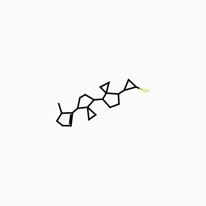 CC1CCC=C1C1CCC(C2CCC(C3CC3S)C23CC3)C12CC2